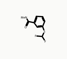 [CH2]NC(=O)c1cccc(SC(F)F)c1